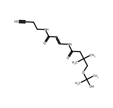 C#CCCNC(=O)/C=C/NC(=O)CC(C)(C)COC(C)(C)O